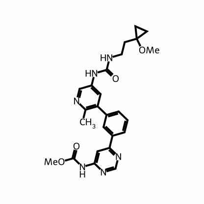 COC(=O)Nc1cc(-c2cccc(-c3cc(NC(=O)NCCC4(OC)CC4)cnc3C)c2)ncn1